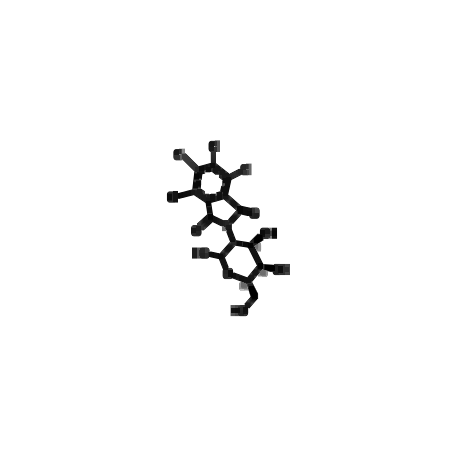 O=C1c2c(Cl)c(Cl)c(Cl)c(Cl)c2C(=O)N1C1C(O)O[C@H](CO)[C@H](O)[C@@H]1O